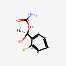 CC[C@](O)(OC(N)=O)c1ccccc1F